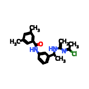 C=C(/N=C(\C)Cl)NC(C)c1cccc(NC(=O)c2cc(C)cc(C)c2)c1